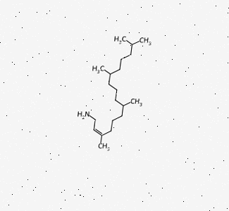 CC(=CCN)CCCC(C)CCCC(C)CCCC(C)C